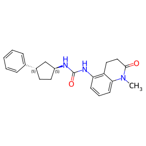 CN1C(=O)CCc2c(NC(=O)N[C@H]3CC[C@H](c4ccccc4)C3)cccc21